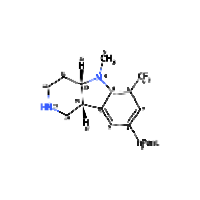 CCCCCc1cc2c(c(C(F)(F)F)c1)N(C)[C@H]1CCNC[C@@H]21